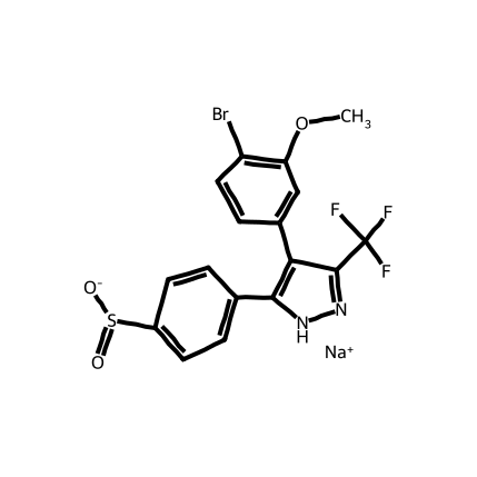 COc1cc(-c2c(C(F)(F)F)n[nH]c2-c2ccc(S(=O)[O-])cc2)ccc1Br.[Na+]